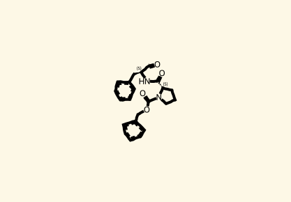 O=[C][C@H](Cc1ccccc1)NC(=O)[C@@H]1CCCN1C(=O)OCc1ccccc1